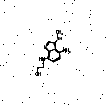 CNn1cnc2c(NCCO)ccc(N)c21